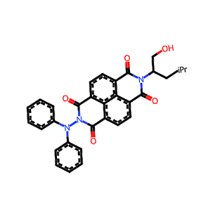 CC(C)CC(CO)N1C(=O)c2ccc3c4c(ccc(c24)C1=O)C(=O)N(N(c1ccccc1)c1ccccc1)C3=O